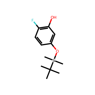 CC(C)(C)[Si](C)(C)Oc1ccc(F)c(O)c1